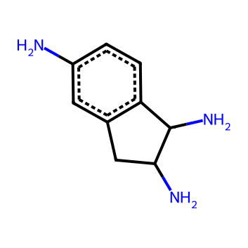 N[C]1c2ccc(N)cc2CC1N